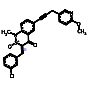 COc1ccc(CC#Cc2ccc3c(c2)C(=O)/C(=C/c2cccc(Cl)c2)[S+]([O-])N3C)cn1